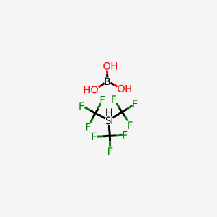 FC(F)(F)[SiH](C(F)(F)F)C(F)(F)F.OB(O)O